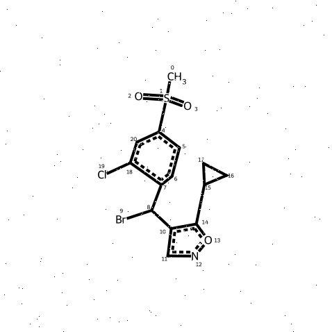 CS(=O)(=O)c1ccc(C(Br)c2cnoc2C2CC2)c(Cl)c1